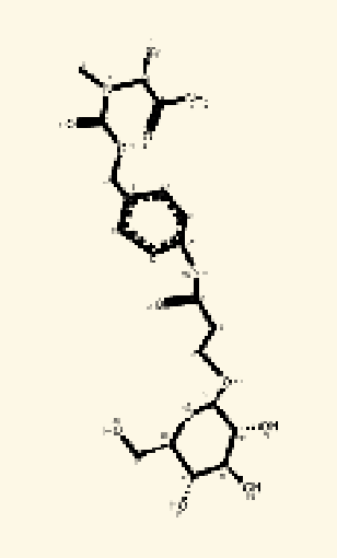 CC(C)[C@@H](C(N)=O)N(C)C(=O)OCc1ccc(NC(=O)CCO[C@@H]2O[C@H](CO)[C@@H](O)[C@H](O)[C@H]2O)cc1